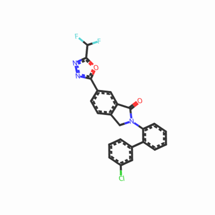 O=C1c2cc(-c3nnc(C(F)F)o3)ccc2CN1c1ccccc1-c1cccc(Cl)c1